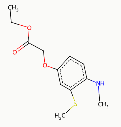 CCOC(=O)COc1ccc(NC)c(SC)c1